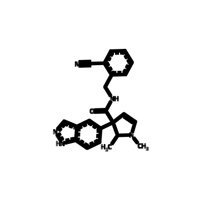 CC1N(C)C=CC1(C(=O)NCc1ccccc1C#N)c1ccc2[nH]ncc2c1